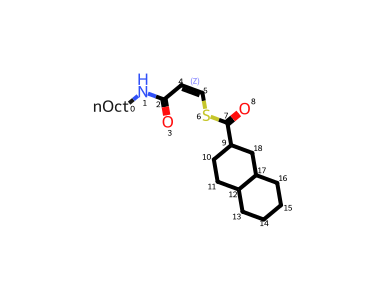 CCCCCCCCNC(=O)/C=C\SC(=O)C1CCC2CCCCC2C1